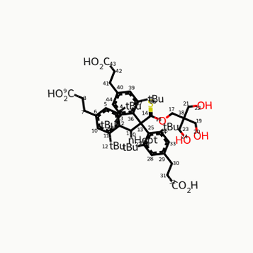 CCCCCCCC(c1c(C(C)(C)C)cc(CCC(=O)O)cc1C(C)(C)C)C(C(=S)OCC(CO)(CO)CO)(c1c(C(C)(C)C)cc(CCC(=O)O)cc1C(C)(C)C)c1c(C(C)(C)C)cc(CCC(=O)O)cc1C(C)(C)C